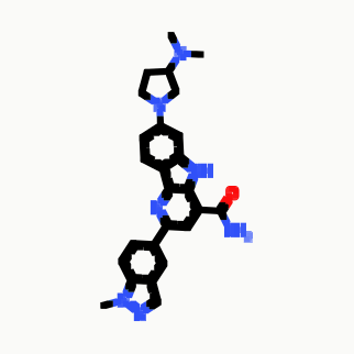 CN(C)C1CCN(c2ccc3c(c2)[nH]c2c(C(N)=O)cc(-c4ccc5c(cnn5C)c4)nc23)C1